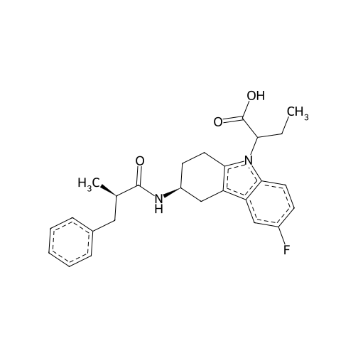 CCC(C(=O)O)n1c2c(c3cc(F)ccc31)C[C@@H](NC(=O)[C@H](C)Cc1ccccc1)CC2